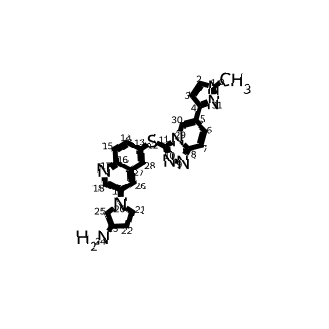 Cn1ccc(-c2ccc3nnc(Sc4ccc5ncc(N6CCC(N)C6)cc5c4)n3c2)n1